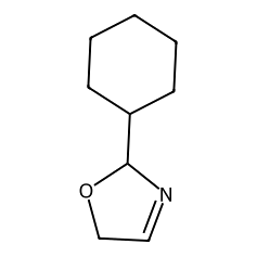 C1=NC(C2CCCCC2)OC1